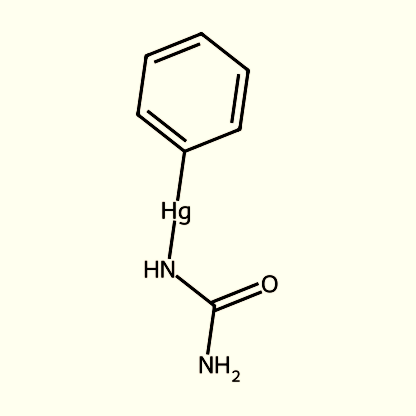 NC(=O)[NH][Hg][c]1ccccc1